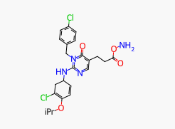 CC(C)OC1=C(Cl)CC(Nc2ncc(CCC(=O)ON)c(=O)n2Cc2ccc(Cl)cc2)C=C1